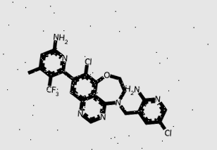 Cc1cc(N)nc(-c2cc3ncnc4c3c(c2Cl)OCCN4Cc2cc(Cl)cnc2N)c1C(F)(F)F